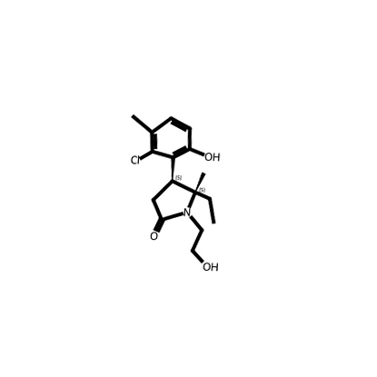 CC[C@@]1(C)[C@H](c2c(O)ccc(C)c2Cl)CC(=O)N1CCO